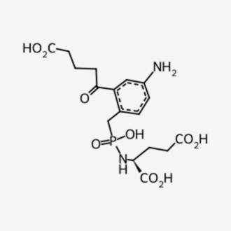 Nc1ccc(CP(=O)(O)N[C@@H](CCC(=O)O)C(=O)O)c(C(=O)CCCC(=O)O)c1